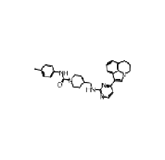 Cc1ccc(NC(=O)N2CCC(CNc3nccc(-c4cn5c6c(cccc46)CCC5)n3)CC2)cc1